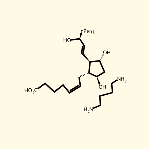 CCCCC[C@H](O)/C=C/[C@@H]1[C@@H](C/C=C\CCCC(=O)O)[C@H](O)C[C@H]1O.NCCCCN